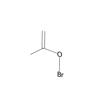 C=C(C)OBr